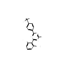 Cc1cccc(C)c1-c1nc(O)nc(-c2ccc(C(F)(F)F)cc2)n1